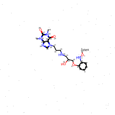 CCCCCCONc1ccccc1OCC(O)CNCCCn1cnc2c1c(=O)n(C)c(=O)n2C